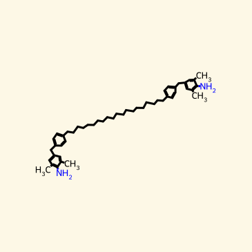 Cc1cc(Cc2ccc(CCCCCCCCCCCCCCCCCCCCc3ccc(Cc4cc(C)c(N)c(C)c4)cc3)cc2)cc(C)c1N